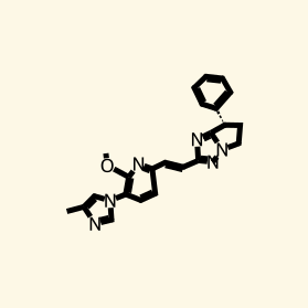 COc1nc(C=Cc2nc3n(n2)CC[C@H]3c2ccccc2)ccc1-n1cnc(C)c1